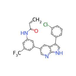 C=CC(=O)Nc1cc(-c2cnc3[nH]cc(-c4cccc(Cl)c4)c3c2)cc(C(F)(F)F)c1